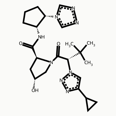 CC(C)(C)[C@@H](C(=O)N1C[C@H](O)C[C@H]1C(=O)N[C@@H]1CCC[C@@H]1n1cnnc1)n1cc(C2CC2)nn1